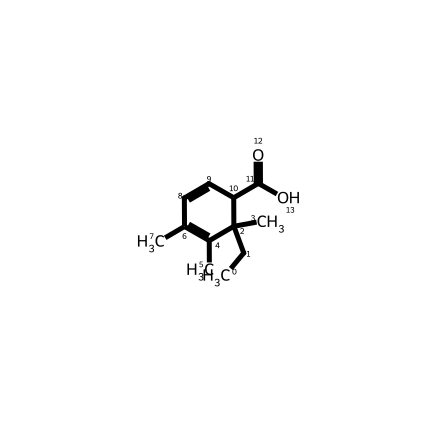 CCC1(C)C(C)=C(C)C=CC1C(=O)O